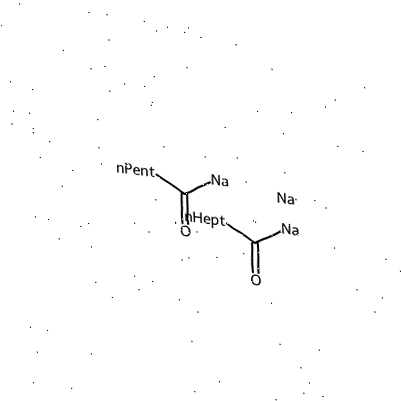 CCCCCCC[C](=O)[Na].CCCCC[C](=O)[Na].[Na]